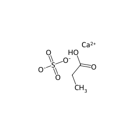 CCC(=O)O.O=S(=O)([O-])[O-].[Ca+2]